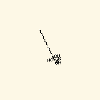 CCCCCCCCCCCCCCCCCCC[C@@H](O)[C@@H](O)[C@@H](CO)OS(C)(=O)=O